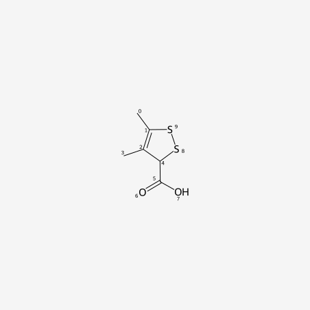 CC1=C(C)C(C(=O)O)SS1